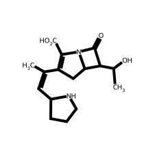 C/C(=C/C1CCCN1)C1=C(C(=O)O)N2C(=O)C(C(C)O)C2C1